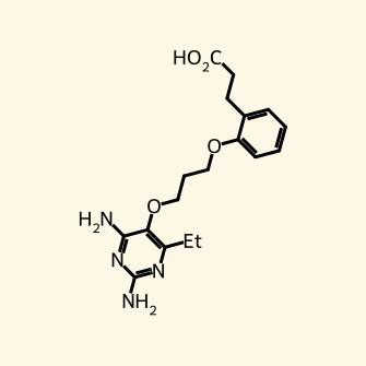 CCc1nc(N)nc(N)c1OCCCOc1ccccc1CCC(=O)O